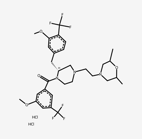 COc1cc(C(=O)N2CCN(CCN3CC(C)OC(C)C3)C[C@H]2Cc2ccc(C(F)(F)F)c(OC)c2)cc(C(F)(F)F)c1.Cl.Cl